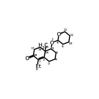 CCC1=C2CCC[C@H](OC3CCCCO3)[C@@]2(C)CCC1=O